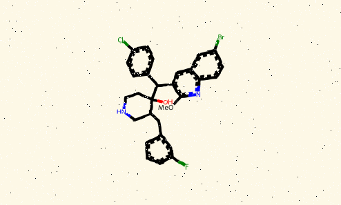 COc1nc2ccc(Br)cc2cc1C(c1ccc(Cl)cc1)C1(O)CCNCC1Cc1cccc(F)c1